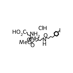 COC(=O)[C@@H](CCCCNC(=O)CCCc1ccc(I)cc1)NC(=O)[C@@H](N)CCC(=O)O.Cl